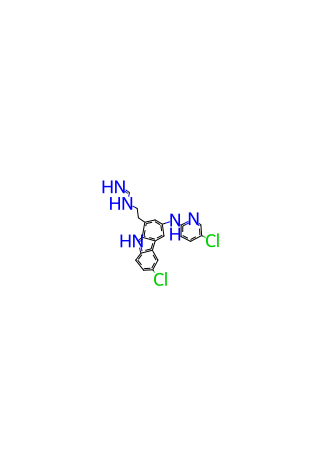 N=CNCCc1cc(Nc2ccc(Cl)cn2)cc2c1[nH]c1ccc(Cl)cc12